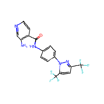 Nc1cnccc1C(=O)Nc1ccc(-n2nc(C(F)(F)F)cc2C(F)(F)F)cc1